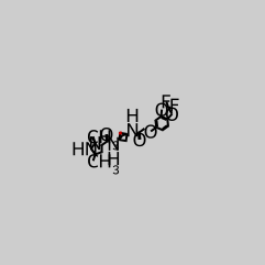 CC1CC(C(=O)NC23CC(NC(=O)COc4ccc5c(c4)OC(F)(F)O5)(C2)C3)N(C)N1